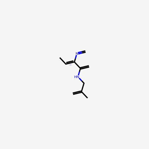 C=N/C(=C\C)C(=C)NCC(=C)C